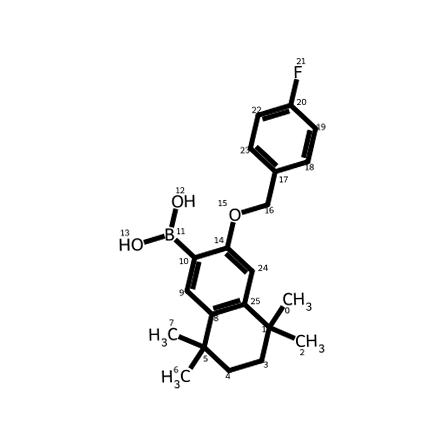 CC1(C)CCC(C)(C)c2cc(B(O)O)c(OCc3ccc(F)cc3)cc21